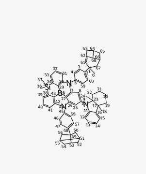 CC1(c2ccc(N3c4cc(N5c6ccccc6C6(C)CCCCC56C)cc5c4B4c6c3cccc6[Si](C)(C)c3cccc(c34)N5c3ccc(C45CC6CC4CC6C5)cc3)cc2)C=C2CC3CC(C1)C23